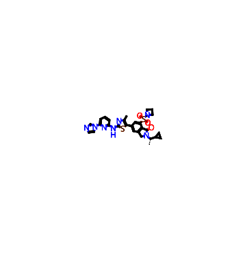 Cc1nc(Nc2cccc(-n3ccnc3)n2)sc1-c1cc2c(c(S(=O)(=O)N3CCC3)c1)C(=O)N([C@@H](C)C1CC1)C2